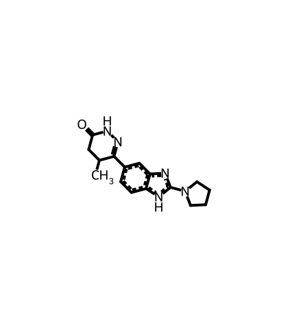 CC1CC(=O)NN=C1c1ccc2[nH]c(N3CCCC3)nc2c1